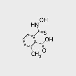 Cc1cccc(C(=S)NO)c1C(=O)O